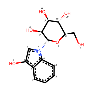 OC[C@H]1O[C@H](n2cc(O)c3ccccc32)[C@@H](O)[C@@H](O)[C@@H]1O